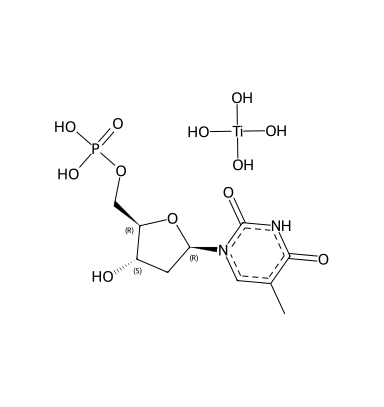 Cc1cn([C@H]2C[C@H](O)[C@@H](COP(=O)(O)O)O2)c(=O)[nH]c1=O.[OH][Ti]([OH])([OH])[OH]